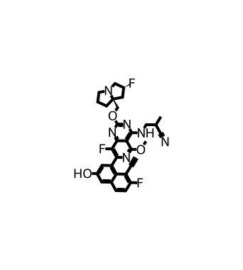 C#Cc1c(F)ccc2cc(O)cc(-c3nc(OC)c4c(NCC(C)C#N)nc(OC[C@@]56CCCN5C[C@H](F)C6)nc4c3F)c12